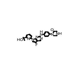 CC(C)(O)c1cccc(-n2cc(F)c3cnc(Nc4ccc(N5CCNCC5=O)cc4)nc32)n1